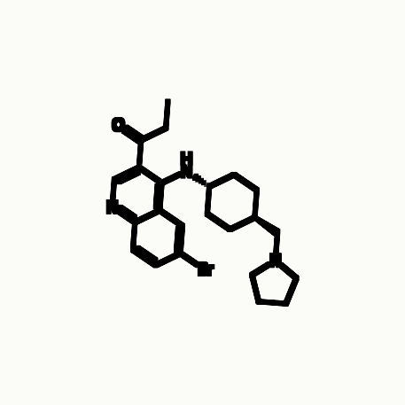 CCC(=O)c1cnc2ccc(Br)cc2c1N[C@H]1CC[C@H](CN2CCCC2)CC1